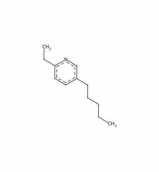 CCCCCc1ccc(CC)nc1